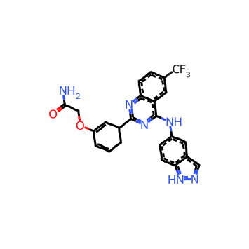 NC(=O)COC1=CC(c2nc(Nc3ccc4[nH]ncc4c3)c3cc(C(F)(F)F)ccc3n2)CC=C1